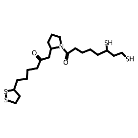 O=C(CCCCC1CCSS1)CC1CCCN1C(=O)CCCCC(S)CCS